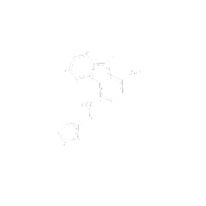 Nc1ccc(NCc2cccs2)c2c1oc1ccccc12